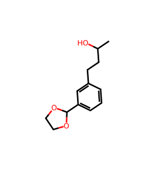 CC(O)CCc1cccc(C2OCCO2)c1